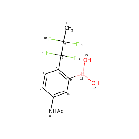 CC(=O)Nc1ccc(C(F)(F)C(F)(F)C(F)(F)F)c(B(O)O)c1